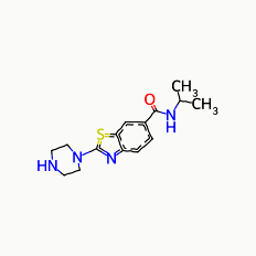 CC(C)NC(=O)c1ccc2nc(N3CCNCC3)sc2c1